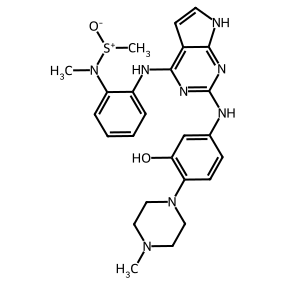 CN1CCN(c2ccc(Nc3nc(Nc4ccccc4N(C)[S+](C)[O-])c4cc[nH]c4n3)cc2O)CC1